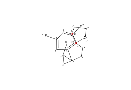 Fc1cc(F)cc(C23CCC4(CC2C3)OCCO4)c1